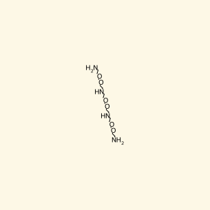 NCCOCOCCNCCOCOCCNCCOCOCCN